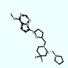 CSc1ncnn2c([C@H]3CCC(CN4CCC(F)(F)C[C@H]4CN4CCCC4)O3)ccc12